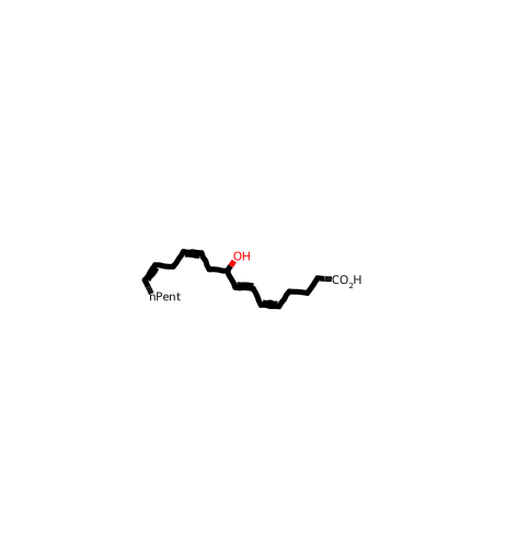 CCCCC/C=C\C/C=C\CC(O)/C=C/C=C\CCCC(=O)O